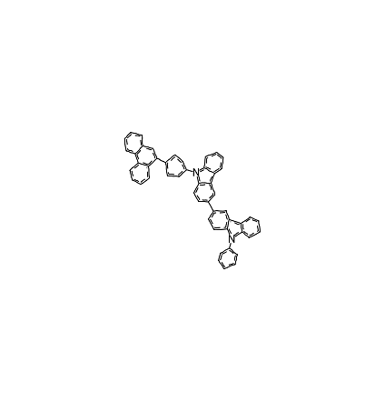 c1ccc(-n2c3ccccc3c3cc(-c4ccc5c(c4)c4ccccc4n5-c4ccc(-c5cc6ccccc6c6ccccc56)cc4)ccc32)cc1